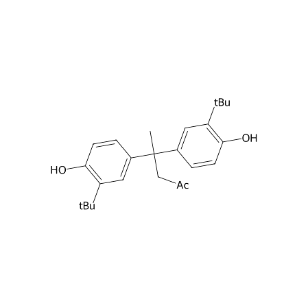 CC(=O)CC(C)(c1ccc(O)c(C(C)(C)C)c1)c1ccc(O)c(C(C)(C)C)c1